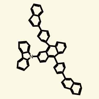 c1ccc2cc(-c3ccc(-c4c5ccccc5c(-c5ccc(-c6ccc7ccccc7c6)cc5)c5cc(-n6c7ccccc7c7ccccc76)ccc45)cc3)ccc2c1